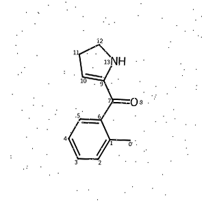 Cc1ccccc1C(=O)C1=CCCN1